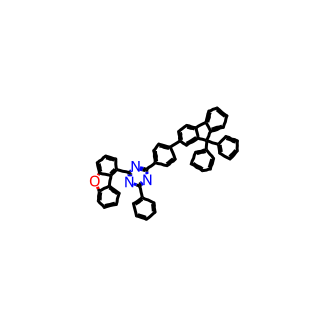 c1ccc(-c2nc(-c3ccc(-c4ccc5c(c4)C(c4ccccc4)(c4ccccc4)c4ccccc4-5)cc3)nc(-c3cccc4oc5ccccc5c34)n2)cc1